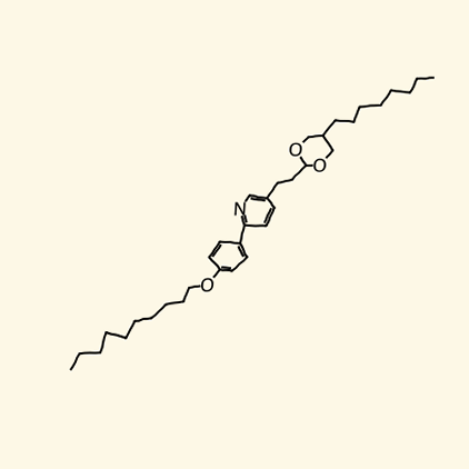 CCCCCCCCCCOc1ccc(-c2ccc(CCC3OCC(CCCCCCCC)CO3)cn2)cc1